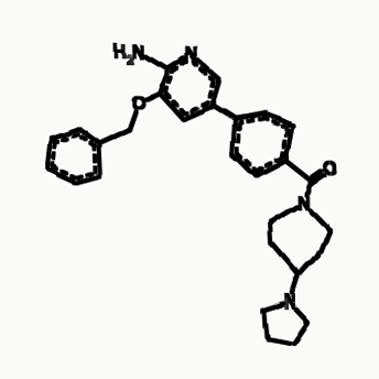 Nc1ncc(-c2ccc(C(=O)N3CCC(N4CCCC4)CC3)cc2)cc1OCc1ccccc1